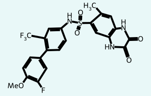 COc1ccc(-c2ccc(NS(=O)(=O)c3cc4[nH]c(=O)c(=O)[nH]c4cc3C)cc2C(F)(F)F)cc1F